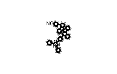 N#Cc1ccc(-c2cccc3c2-c2ccccc2C32c3ccccc3-c3c2cc(-c2ccc(-c4nc(C5=CCCC=C5)nc(-c5ccccc5)n4)cc2)c2ccccc32)cc1